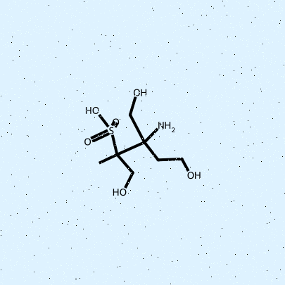 CC(CO)(C(N)(CO)CCO)S(=O)(=O)O